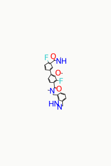 CNC(=O)c1cc(-c2ccc(C(=O)N(C)Cc3cccc4cn[nH]c34)c(F)c2OC)ccc1F